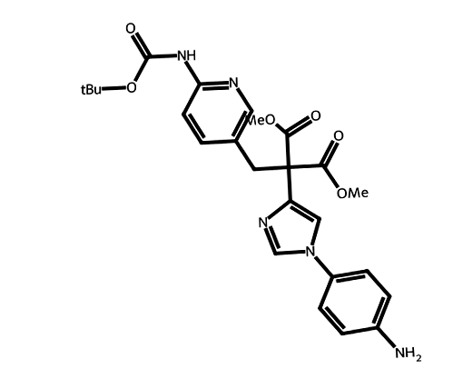 COC(=O)C(Cc1ccc(NC(=O)OC(C)(C)C)nc1)(C(=O)OC)c1cn(-c2ccc(N)cc2)cn1